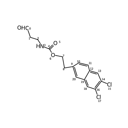 O=CCCNC(=O)OCCc1ccc2cc(Cl)c(Cl)cc2c1